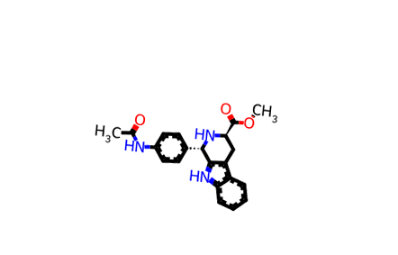 COC(=O)[C@H]1Cc2c([nH]c3ccccc23)[C@H](c2ccc(NC(C)=O)cc2)N1